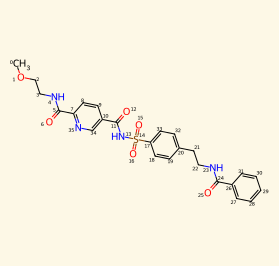 COCCNC(=O)c1ccc(C(=O)NS(=O)(=O)c2ccc(CCNC(=O)c3ccccc3)cc2)cn1